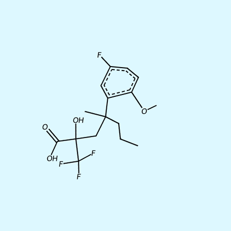 CCCC(C)(CC(O)(C(=O)O)C(F)(F)F)c1cc(F)ccc1OC